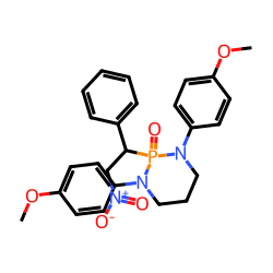 COc1ccc(N2CCCN(c3ccc(OC)cc3)P2(=O)C(C[N+](=O)[O-])c2ccccc2)cc1